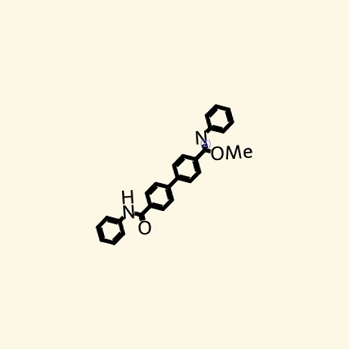 CO/C(=N\c1ccccc1)c1ccc(-c2ccc(C(=O)Nc3ccccc3)cc2)cc1